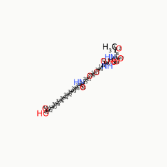 CC(=O)CC[C@H](NC(=O)CCC(=O)NCCCOCCOCCCNC(=O)CCCCCCCCCCCCCCCCC(=O)O)C(=O)O